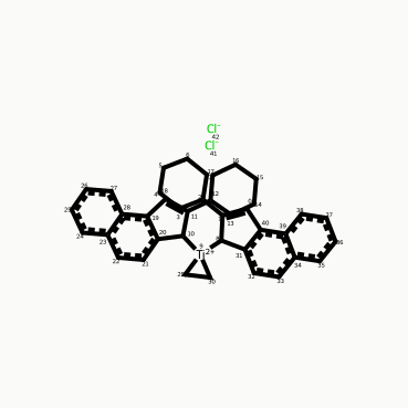 C1=C(C2CCCCC2)[CH]([Ti+2]2([CH]3C(C4CCCCC4)=Cc4c3ccc3ccccc43)[CH2][CH2]2)c2ccc3ccccc3c21.[Cl-].[Cl-]